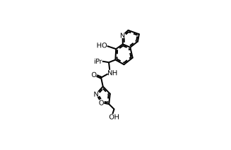 CC(C)C(NC(=O)c1cc(CO)on1)c1ccc2cccnc2c1O